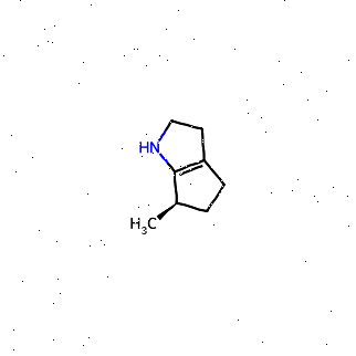 C[C@@H]1CCC2=C1NCC2